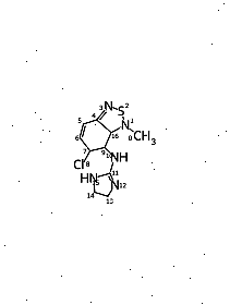 CN1SN=C2C=CC(Cl)C(NC3=NCCN3)C21